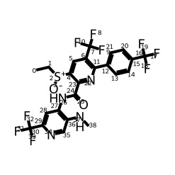 CC[S+]([O-])c1cc(C(F)(F)F)c(-c2ccc(C(F)(F)F)cc2)nc1C(=O)Nc1cc(C(F)(F)F)ncc1NC